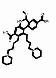 COC1Nc2cc(C(=O)O)c(CCCCN3CCCCC3)c(CCCCN3CCCCC3)c2-c2ccc(C(=O)O)cc21